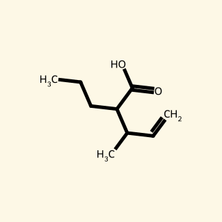 C=CC(C)C(CCC)C(=O)O